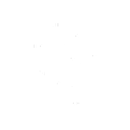 CC(=O)CC(=O)OC(=O)C(C)C.[Ag]